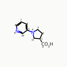 O=C(O)[C@@H]1CCN(c2cccnc2)C1